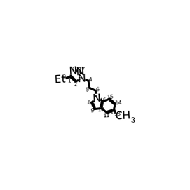 CCc1cn(CCCn2ccc3cc(C)ccc32)nn1